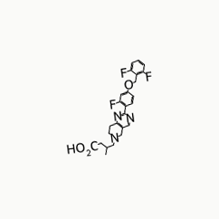 CC(CC(=O)O)CN1CCc2nc(-c3ccc(OCc4c(F)cccc4F)cc3F)ncc2C1